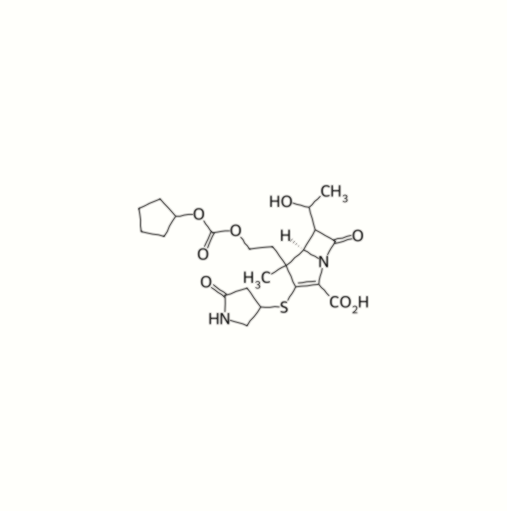 CC(O)C1C(=O)N2C(C(=O)O)=C(SC3CNC(=O)C3)C(C)(CCOC(=O)OC3CCCC3)[C@@H]12